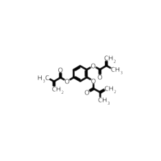 C=C(C)C(=O)Oc1ccc(OC(=O)C(=C)C)c(OC(=O)C(=C)C)c1